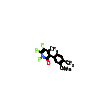 COc1cc(-c2c(C(F)(F)F)c(F)c(F)n(F)c2=O)ccc1C(F)(F)F